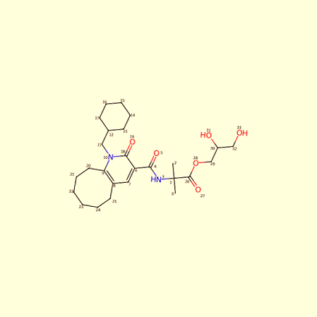 CC(C)(NC(=O)c1cc2c(n(CC3CCCCC3)c1=O)CCCCCC2)C(=O)OCC(O)CO